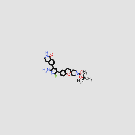 CC(C)(C)OC(=O)N1CCC2(CCc3cc(-c4cc(-c5ccc6c(c5)CCNC6=O)c(N)nc4F)ccc3O2)CC1